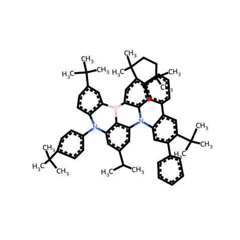 CC(C)c1cc2c3c(c1)N(c1cc(-c4ccccc4)c(C(C)(C)C)cc1-c1ccccc1)c1cc4c(cc1B3c1cc(C(C)(C)C)ccc1N2c1ccc(C(C)(C)C)cc1)C(C)(C)CCC4(C)C